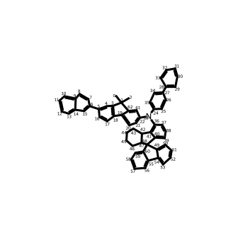 CC1(C)c2cc(-c3ccc4ccccc4c3)ccc2-c2ccc(N(c3ccc(-c4ccccc4)cc3)c3cccc4c3C3CCCCC3C43c4ccccc4-c4ccccc43)cc21